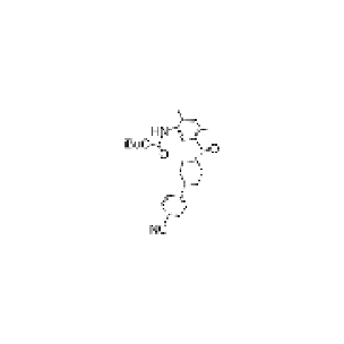 Cc1cc(C)c(C(=O)N2CCC(c3ccc(C#N)cc3)CC2)cc1NC(=O)OCC(C)C